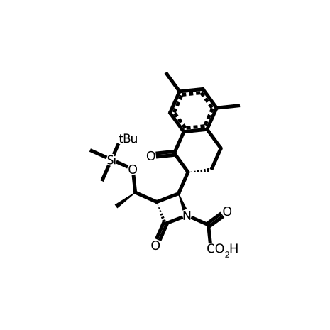 Cc1cc(C)c2c(c1)C(=O)[C@@H]([C@@H]1[C@@H]([C@@H](C)O[Si](C)(C)C(C)(C)C)C(=O)N1C(=O)C(=O)O)CC2